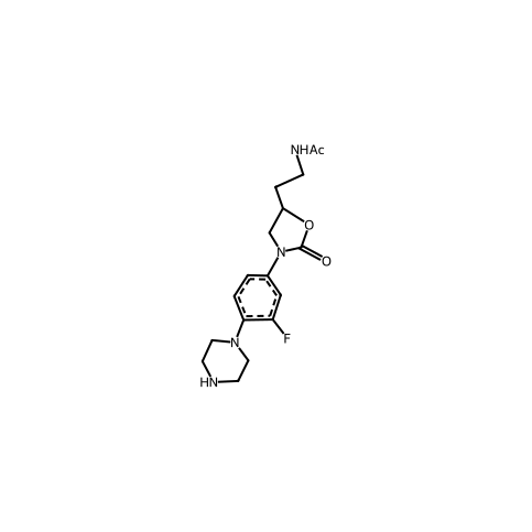 CC(=O)NCCC1CN(c2ccc(N3CCNCC3)c(F)c2)C(=O)O1